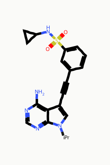 CC(C)n1cc(C#Cc2cccc(S(=O)(=O)NC3CC3)c2)c2c(N)ncnc21